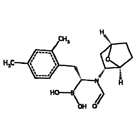 Cc1ccc(C[C@@H](B(O)O)N(C=O)[C@@H]2C[C@H]3CC[C@@H]2O3)c(C)c1